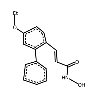 CCOc1ccc(/C=C/C(=O)NO)c(-c2ccccc2)c1